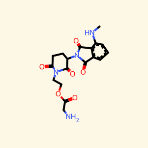 CNc1cccc2c1C(=O)N(C1CCC(=O)N(CCOC(=O)CN)C1=O)C2=O